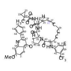 COc1ccc2c(O[C@@H]3C[C@H]4C(=O)N[C@]5(C(=O)NS(=O)(=O)C6(C)CC6)C[C@H]5/C=C\CCCCC[C@H](Nc5cc(F)cc(C(F)(F)F)c5)C(=O)N4C3)cc(-c3ccccc3)nc2c1